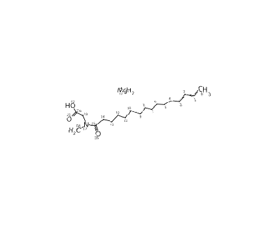 CCCCCCCCCCCCCCCC(=O)N(C)CC(=O)O.[MgH2]